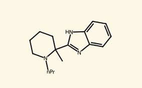 CCCN1CCCCC1(C)c1nc2ccccc2[nH]1